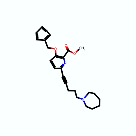 COC(=O)c1nc(C#CCCCN2CCCCCC2)ccc1OCc1ccccc1